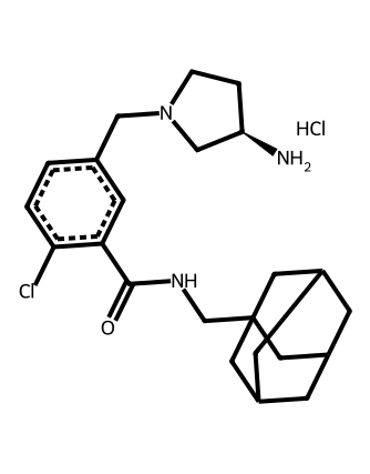 Cl.N[C@@H]1CCN(Cc2ccc(Cl)c(C(=O)NCC34CC5CC(CC(C5)C3)C4)c2)C1